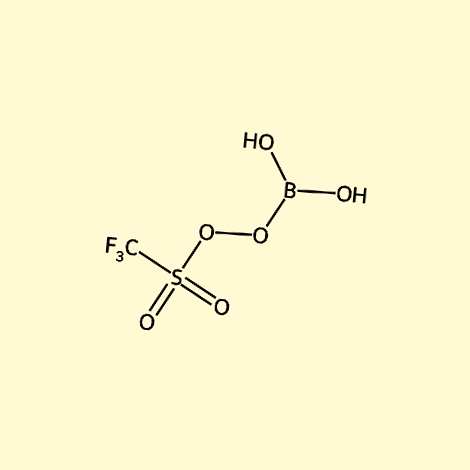 O=S(=O)(OOB(O)O)C(F)(F)F